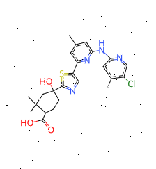 Cc1cc(Nc2cc(C)c(Cl)cn2)nc(-c2cnc(C3(O)CCC(C(=O)O)C(C)(C)C3)s2)c1